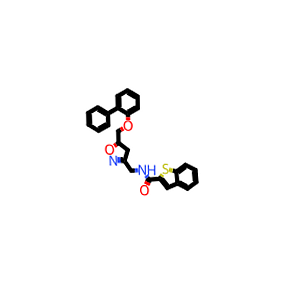 O=C(NCC1=NOC(COc2ccccc2-c2ccccc2)C1)c1cc2ccccc2s1